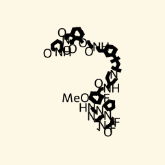 COc1cc(C(=O)NC2CCN(C(C)(C)CC(C)(C)c3cccc(CNC(=O)COc4cccc5c4C(=O)N(C4CCC(=O)NC4=O)C5=O)c3)CC2)c(F)cc1Nc1ncc2c(n1)N(C1CCCC1)CC(F)(F)C(=O)N2C